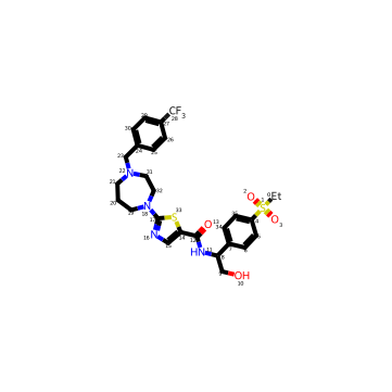 CCS(=O)(=O)c1ccc(C(CO)NC(=O)c2cnc(N3CCCN(Cc4ccc(C(F)(F)F)cc4)CC3)s2)cc1